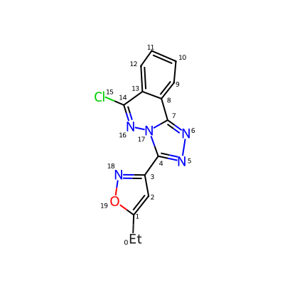 CCc1cc(-c2nnc3c4ccccc4c(Cl)nn23)no1